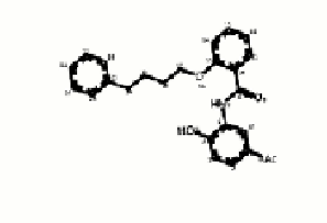 CC(=O)c1ccc(O)c(NC(=O)c2ccccc2OCCCCc2ccccc2)c1